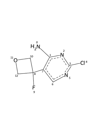 Nc1nc(Cl)ncc1C1(F)COC1